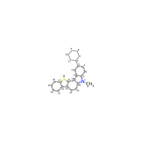 Cn1c2ccc(C3CCCCC3)cc2c2c3sc4ccccc4c3ccc21